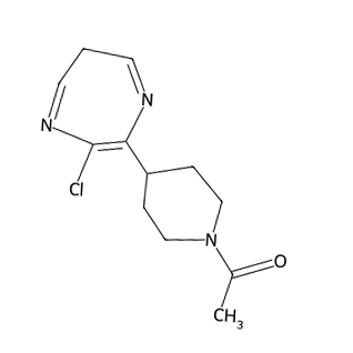 CC(=O)N1CCC(C2=C(Cl)N=CCC=N2)CC1